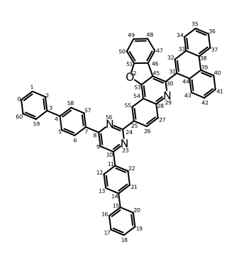 c1ccc(-c2ccc(-c3cc(-c4ccc(-c5ccccc5)cc4)nc(-c4ccc5nc(-c6cc7ccccc7c7ccccc67)c6c7ccccc7oc6c5c4)n3)cc2)cc1